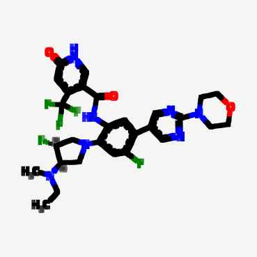 CCN(C)[C@@H]1CN(c2cc(F)c(-c3cnc(N4CCOCC4)nc3)cc2NC(=O)c2c[nH]c(=O)cc2C(F)(F)F)C[C@H]1F